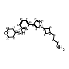 NCCCC1CC(n2cc(-c3cccc(NC4CCOCC4)n3)cn2)C1